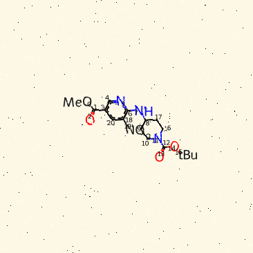 COC(=O)c1cnc(NC2CCN(C(=O)OC(C)(C)C)CC2)c([N+](=O)[O-])c1